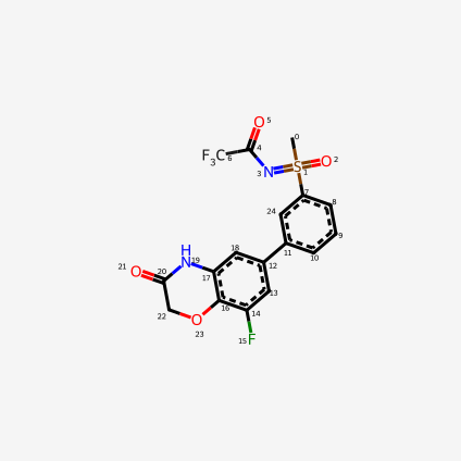 CS(=O)(=NC(=O)C(F)(F)F)c1cccc(-c2cc(F)c3c(c2)NC(=O)CO3)c1